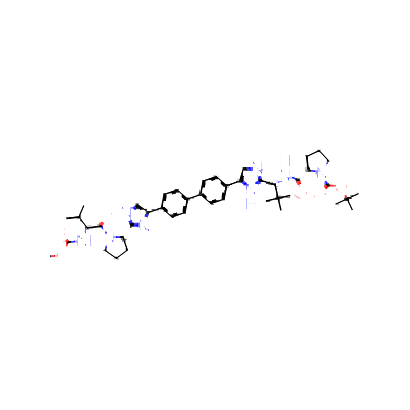 COC(=O)N[C@H](C(=O)N1CCC[C@H]1c1ncc(-c2ccc(-c3ccc(-c4cnc([C@@H](NC(=O)[C@@H]5CCCN5C(=O)OC(C)(C)C)C(C)(C)C)[nH]4)cc3)cc2)[nH]1)C(C)C